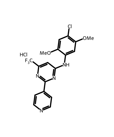 COc1cc(Nc2cc(C(F)(F)F)nc(-c3ccncc3)n2)c(OC)cc1Cl.Cl